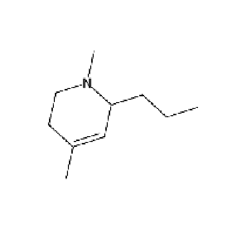 CCCC1C=C(C)CCN1C